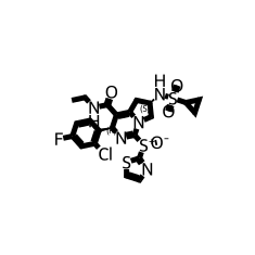 CCNC(=O)C1=C2C[C@H](NS(=O)(=O)C3CC3)CN2C([S+]([O-])c2nccs2)=N[C@H]1c1ccc(F)cc1Cl